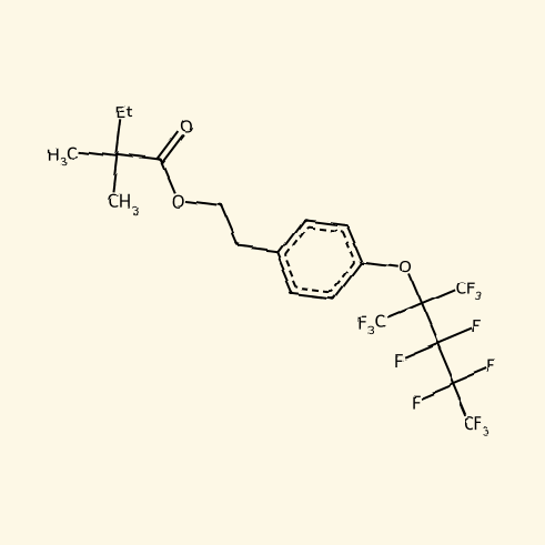 CCC(C)(C)C(=O)OCCc1ccc(OC(C(F)(F)F)(C(F)(F)F)C(F)(F)C(F)(F)C(F)(F)F)cc1